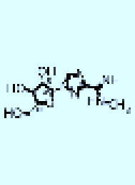 CNC(=N)c1ncn([C@@H]2O[C@H](CO)C(O)[C@@H]2O)n1